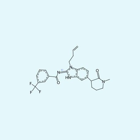 C=CCCn1/c(=N/C(=O)c2cccc(C(F)(F)F)c2)[nH]c2cc(C3CCCN(C)C3=O)ccc21